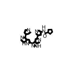 O=C(Nc1cncc(-c2cc3c(-c4cc5c(-c6ccncc6)nccc5[nH]4)n[nH]c3cn2)c1)C1CCCC1